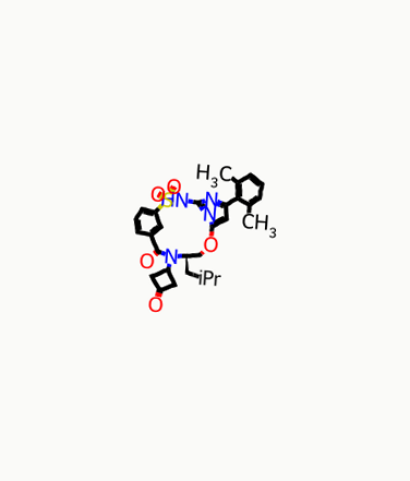 Cc1cccc(C)c1-c1cc2nc(n1)NS(=O)(=O)c1cccc(c1)C(=O)N(C1CC(=O)C1)[C@H](CC(C)C)CO2